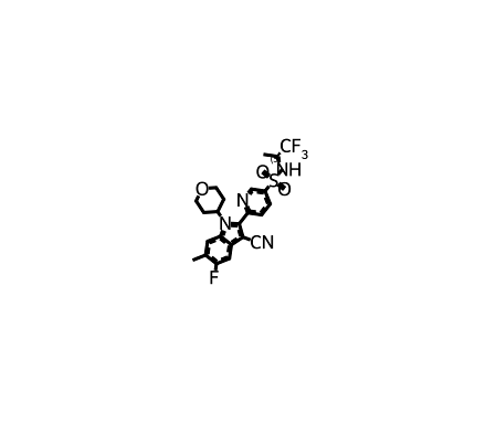 Cc1cc2c(cc1F)c(C#N)c(-c1ccc(S(=O)(=O)N[C@@H](C)C(F)(F)F)cn1)n2C1CCOCC1